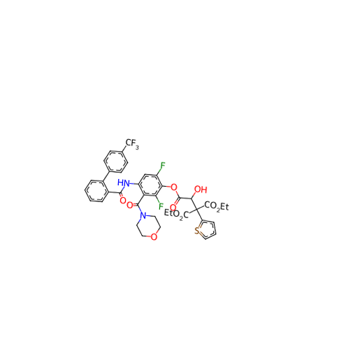 CCOC(=O)C(C(=O)OCC)(c1cccs1)C(O)C(=O)Oc1c(F)cc(NC(=O)c2ccccc2-c2ccc(C(F)(F)F)cc2)c(C(=O)N2CCOCC2)c1F